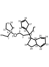 CCC(CCO[Si](CC)(CC)CC)(C1=CC=CC1)C1CCC2C=CC=CC21